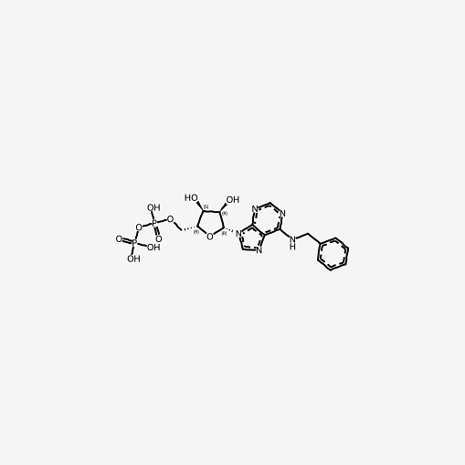 O=P(O)(O)OP(=O)(O)OC[C@H]1O[C@@H](n2cnc3c(NCc4ccccc4)ncnc32)[C@H](O)[C@@H]1O